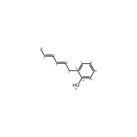 CC=CC=CCc1ccccc1O